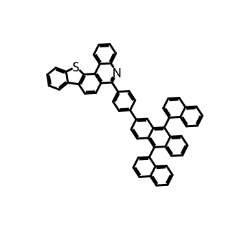 c1ccc2c(-c3c4ccccc4c(-c4cccc5ccccc45)c4cc(-c5ccc(-c6nc7ccccc7c7c6ccc6c8ccccc8sc67)cc5)ccc34)cccc2c1